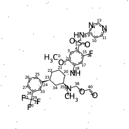 COc1cc(S(=O)(=O)Nc2ccncn2)c(F)cc1N[C@H]1CC[C@H](c2cccc(C(F)(F)F)c2)C[C@@H]1N(C)COC=O